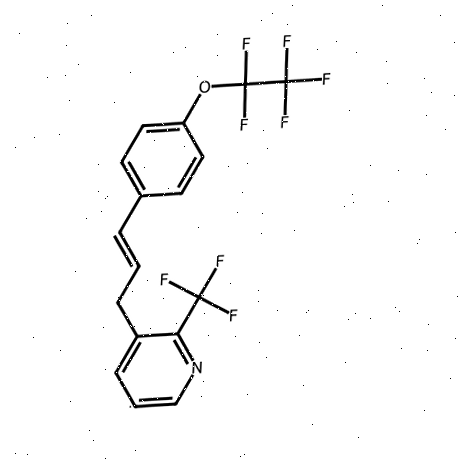 FC(F)(F)c1nc[c]cc1CC=Cc1ccc(OC(F)(F)C(F)(F)F)cc1